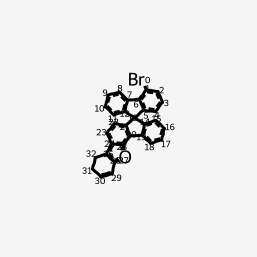 Brc1cccc2c1-c1ccccc1C21c2ccccc2-c2c1ccc1c3c(oc21)C=CCC3